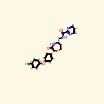 O=C(NC[C@@H]1CCS[C@H](c2ccc(Oc3ccc(Cl)cc3)cc2)C(=O)N1)c1ncccn1